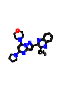 Cc1nc2ccccc2nc1-c1cc2nc(N3CCCC3)cc(N3CCOCC3)n2n1